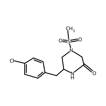 CS(=O)(=O)N1CC(=O)NC(Cc2ccc(Cl)cc2)C1